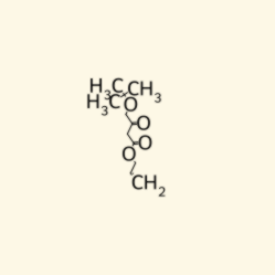 C=CCOC(=O)CC(=O)COC(C)(C)C